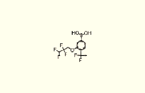 OB(O)c1ccc(C(F)(F)F)c(OCC(F)(F)C(F)F)c1